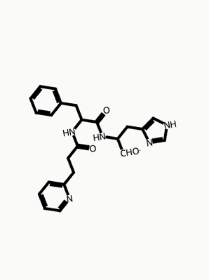 O=[C]C(Cc1c[nH]cn1)NC(=O)C(Cc1ccccc1)NC(=O)CCc1ccccn1